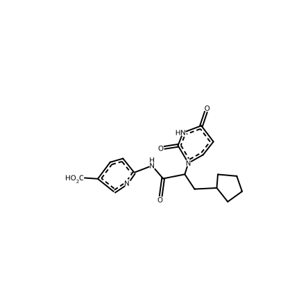 O=C(O)c1ccc(NC(=O)C(CC2CCCC2)n2ccc(=O)[nH]c2=O)nc1